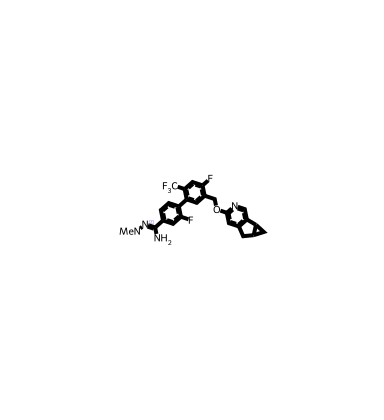 CN/N=C(\N)c1ccc(-c2cc(COc3cc4c(cn3)C3CC3C4)c(F)cc2C(F)(F)F)c(F)c1